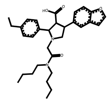 CCCCN(CCCC)C(=O)CN1CC(c2ccc3occc3c2)C(C(=O)O)C1c1ccc(CC)cc1